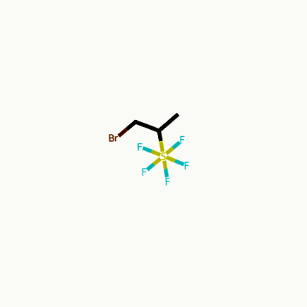 CC(CBr)S(F)(F)(F)(F)F